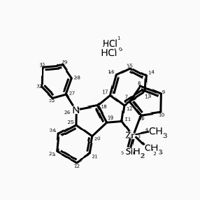 Cl.Cl.[CH3][Zr]([CH3])(=[SiH2])([C]1=CC=CC1)[CH]1c2ccccc2-c2c1c1ccccc1n2-c1ccccc1